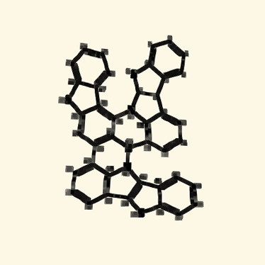 c1ccc2c(c1)SC1C2c2cccc3c2N1c1c2c(cc4sc5ccccc5c14)-c1cccc4c5sc6ccccc6c5n(c14)B32